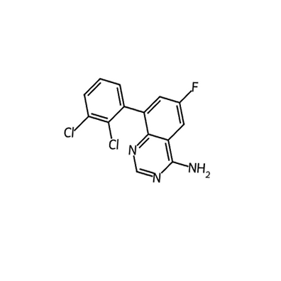 Nc1ncnc2c(-c3cccc(Cl)c3Cl)cc(F)cc12